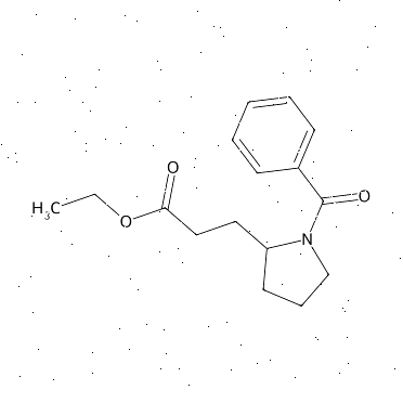 CCOC(=O)CCC1CCCN1C(=O)c1ccccc1